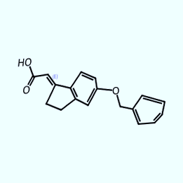 O=C(O)/C=C1\CCc2cc(OCc3ccccc3)ccc21